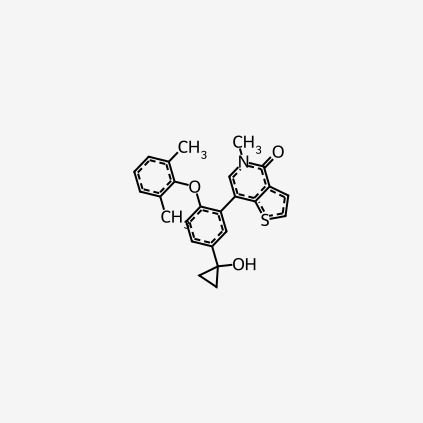 Cc1cccc(C)c1Oc1ccc(C2(O)CC2)cc1-c1cn(C)c(=O)c2ccsc12